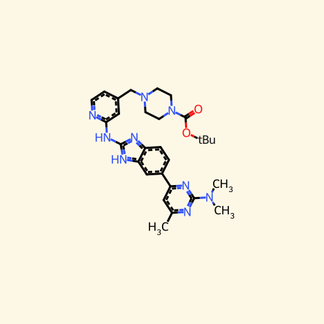 Cc1cc(-c2ccc3nc(Nc4cc(CN5CCN(C(=O)OC(C)(C)C)CC5)ccn4)[nH]c3c2)nc(N(C)C)n1